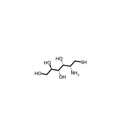 N[C@@H](CS)[C@@H](O)[C@H](O)[C@H](O)CO